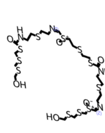 O=C(NCCSCC/N=C\[S+]([O-])CSCSCO)SCCSCC[S+]([O-])/C=N\CCSCCNC(=O)SCSCSCO